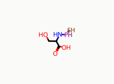 O=C(O)C(CO)NPS